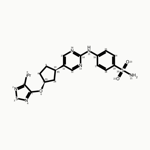 CC(C)c1nsnc1O[C@H]1CC[C@@H](c2cnc(Nc3ccc(S(N)(=O)=O)cc3)nc2)C1